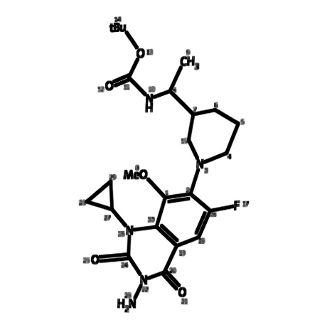 COc1c(N2CCCC(C(C)NC(=O)OC(C)(C)C)C2)c(F)cc2c(=O)n(N)c(=O)n(C3CC3)c12